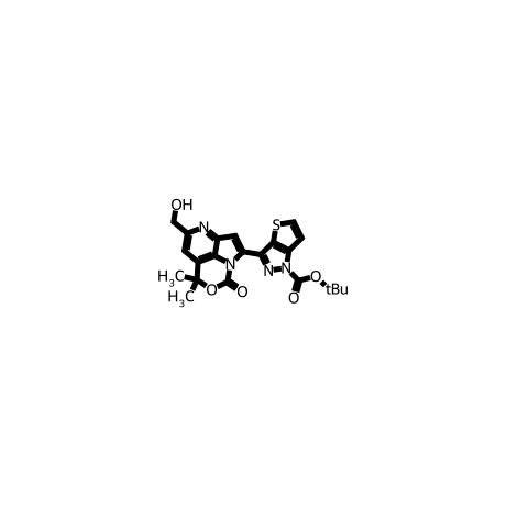 CC(C)(C)OC(=O)n1nc(-c2cc3nc(CO)cc4c3n2C(=O)OC4(C)C)c2sccc21